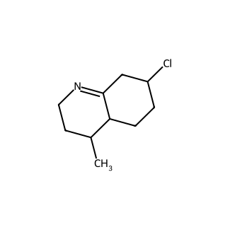 CC1CCN=C2CC(Cl)CCC21